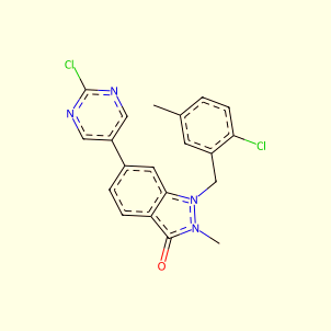 Cc1ccc(Cl)c(Cn2c3cc(-c4cnc(Cl)nc4)ccc3c(=O)n2C)c1